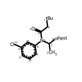 CCCCCC(C)N(C(=O)CC(C)(C)C)c1cccc(Cl)c1